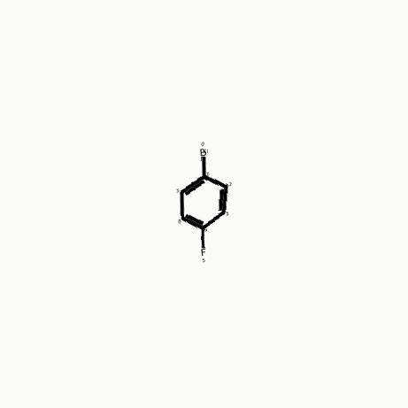 [B]c1ccc(F)cc1